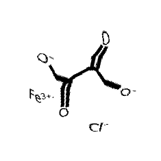 O=C([O-])C(=O)[O-].[Cl-].[Fe+3]